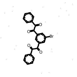 O=C(C(=O)c1cc(Br)cc(C(=O)C(=O)c2ccccc2)c1)c1ccccc1